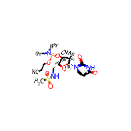 CO[C@@H]1[C@H](OP(OCCC#N)N(C(C)C)C(C)C)[C@@H](CNS(C)(=O)=O)O[C@H]1n1ccc(=O)[nH]c1=O